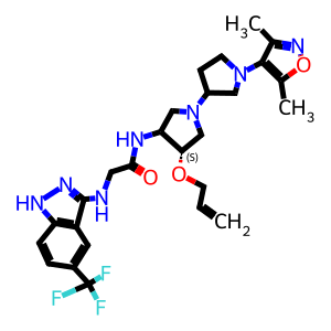 C=CCO[C@H]1CN(C2CCN(c3c(C)noc3C)C2)CC1NC(=O)CNc1n[nH]c2ccc(C(F)(F)F)cc12